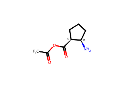 N[C@@H]1CCC[C@@H]1C(=O)OC(=O)C(F)(F)F